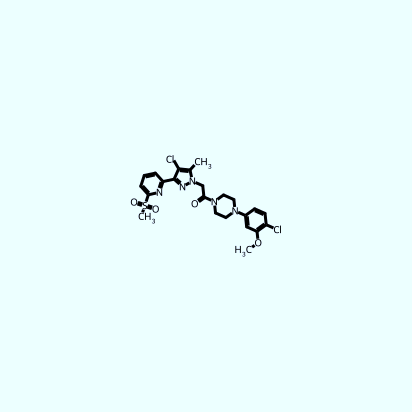 COc1cc(N2CCN(C(=O)Cn3nc(-c4cccc(S(C)(=O)=O)n4)c(Cl)c3C)CC2)ccc1Cl